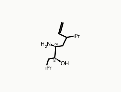 C=CC(C[C@H](N)[C@@H](O)CC(C)C)C(C)C